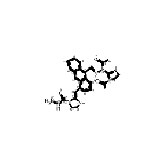 CC(=O)N1CCN=C1N(N=Cc1c2ccccc2cc2c(C=C3NCCN3C(=O)NN)cccc12)C(C)=O